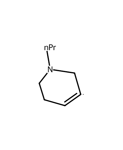 CCCN1C[C]=CCC1